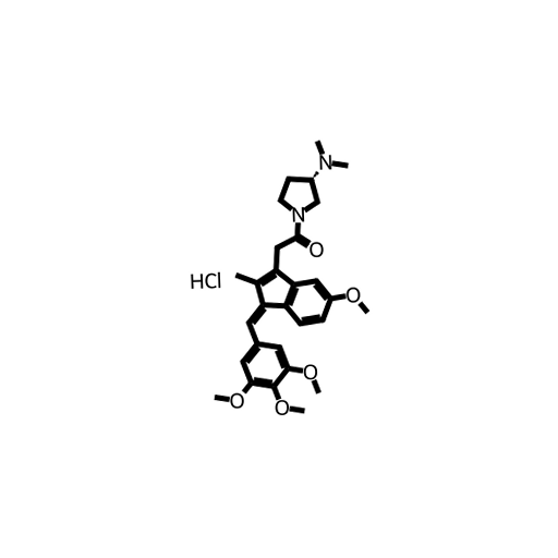 COc1ccc2c(c1)C(CC(=O)N1CC[C@H](N(C)C)C1)=C(C)/C2=C/c1cc(OC)c(OC)c(OC)c1.Cl